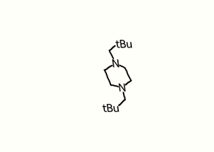 CC(C)(C)CN1CCN(CC(C)(C)C)CC1